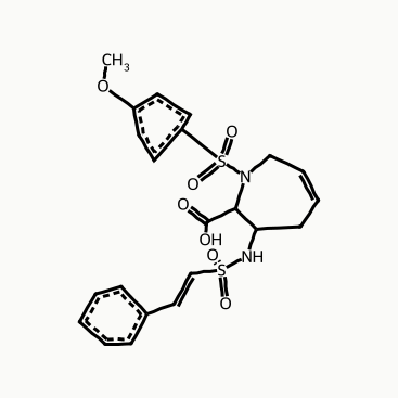 COc1ccc(S(=O)(=O)N2CC=CCC(NS(=O)(=O)C=Cc3ccccc3)C2C(=O)O)cc1